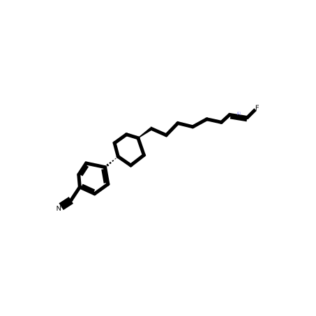 N#Cc1ccc([C@H]2CC[C@H](CCCCCC/C=C/F)CC2)cc1